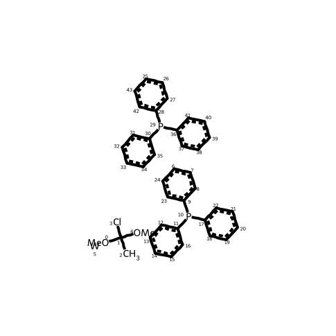 COC(C)(Cl)OC.[W].c1ccc(P(c2ccccc2)c2ccccc2)cc1.c1ccc(P(c2ccccc2)c2ccccc2)cc1